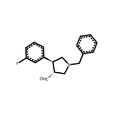 O=C[C@H]1CN(Cc2ccccc2)C[C@@H]1c1cccc(F)c1